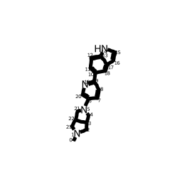 CN1CC2CN(c3ccc(-c4ccc5[nH]ccc5c4)nc3)CC2C1